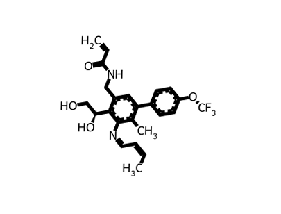 C=CC(=O)NCc1cc(-c2ccc(OC(F)(F)F)cc2)c(C)c(/N=C\C=C/C)c1[C@@H](O)CO